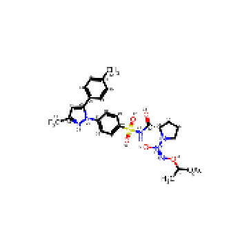 CC(=O)OC(C)O/N=[N+](/[O-])N1CCC[C@H]1C(=O)NS(=O)(=O)c1ccc(-n2nc(C(F)(F)F)cc2-c2ccc(C)cc2)cc1